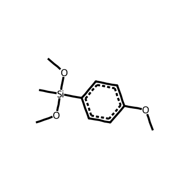 COc1ccc([Si](C)(OC)OC)cc1